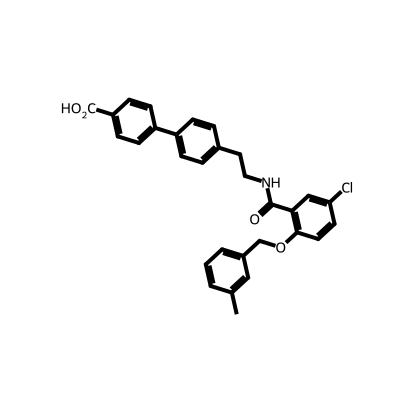 Cc1cccc(COc2ccc(Cl)cc2C(=O)NCCc2ccc(-c3ccc(C(=O)O)cc3)cc2)c1